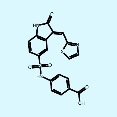 O=C1Nc2ccc(S(=O)(=O)Nc3ccc(C(=O)O)cc3)cc2/C1=C\c1nccs1